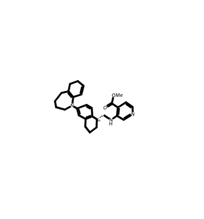 COC(=O)c1ccncc1NC[C@@H]1CCCc2cc(N3CCCCC4=C3C=CCC4)ccc21